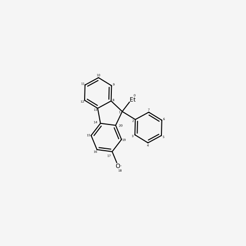 CCC1(c2ccccc2)c2ccccc2-c2ccc([O])cc21